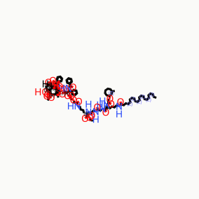 CC/C=C\C/C=C\C/C=C\C/C=C\C/C=C\C/C=C\CCC(=O)NCCCC[C@H](NC(=O)COC1/C=C(/C)CCCCC1)C(=O)NCC(=O)NCC(=O)N[C@@H](CCCCNC(=O)COCC(=O)O[C@@H](C(=O)O[C@H]1C[C@@]2(O)[C@@H](OC(=O)c3ccccc3)[C@@H]3[C@]4(OC(C)=O)CO[C@@H]4C[C@H](O)[C@@]3(C)C(=O)[C@H](OC(C)=O)C(=C1C)C2(C)C)C(NC(=O)c1ccccc1)c1ccccc1)C(=O)OCC